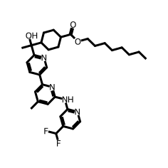 CCCCCCCCOC(=O)C1CCC(C(C)(O)c2ccc(-c3cc(C)cc(Nc4cc(C(F)F)ccn4)n3)cn2)CC1